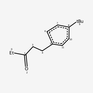 CCC(=O)CCc1ccc(C(C)(C)C)cc1